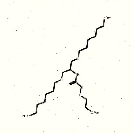 CCCCCCCCCCCCCCCCOCC(COCCCCCCCCCCCCCCCC)NC(=O)COCCOC